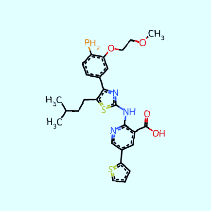 COCCOc1cc(-c2nc(Nc3ncc(-c4cccs4)cc3C(=O)O)sc2CCC(C)C)ccc1P